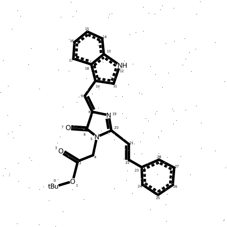 CC(C)(C)OC(=O)CN1C(=O)/C(=C/c2c[nH]c3ccccc23)N=C1/C=C/c1ccccc1